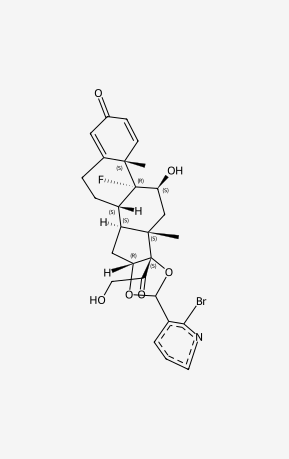 C[C@]12C=CC(=O)C=C1CC[C@H]1[C@@H]3C[C@H]4OC(c5cccnc5Br)O[C@@]4(C(=O)CO)[C@@]3(C)C[C@H](O)[C@@]12F